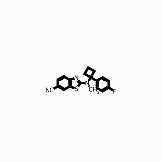 CN(c1nc2ccc(C#N)cc2s1)C1(c2ccc(F)cc2)CCC1